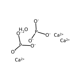 O.[Ca+2].[Ca+2].[Ca+2].[O-]P([O-])[O-].[O-]P([O-])[O-]